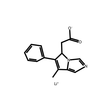 CC1=C(c2ccccc2)C(CC(=O)[O-])n2cncc21.[Li+]